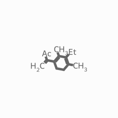 C=C(C(C)=O)C1=C(C)C(CC)=C(C)CC1